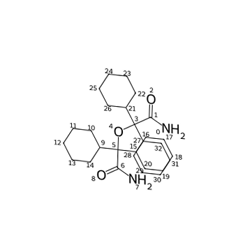 NC(=O)C(OC(C(N)=O)(C1CCCCC1)C1CCCCC1)(C1CCCCC1)C1CCCCC1